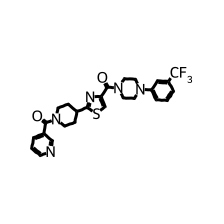 O=C(c1cccnc1)N1CCC(c2nc(C(=O)N3CCN(c4cccc(C(F)(F)F)c4)CC3)cs2)CC1